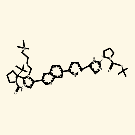 CC(C)(C)OC(=O)N1CCC[C@H]1c1ncc(-c2ccc(-c3ccc4cc(-c5cnc([C@@]6(C(C)(C)C)CCCN6C(=O)O)n5COCC[Si](C)(C)C)cnc4c3)nc2)[nH]1